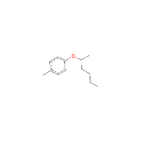 CCCCC(C)Oc1ccc(C)cc1